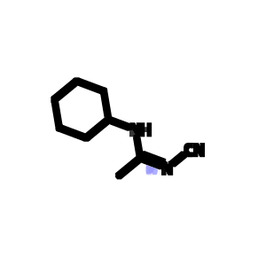 C/C(=N/C#N)NC1CCCCC1